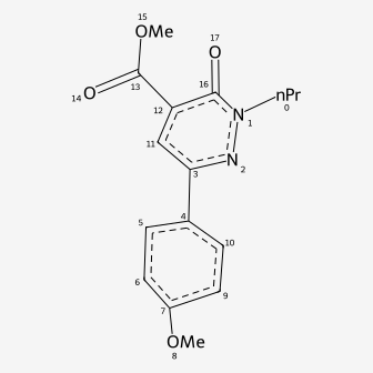 CCCn1nc(-c2ccc(OC)cc2)cc(C(=O)OC)c1=O